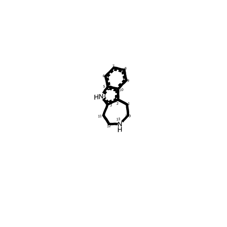 [C]1Cc2c([nH]c3ccccc23)CCN1